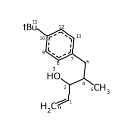 C=CC(O)C(C)Cc1ccc(C(C)(C)C)cc1